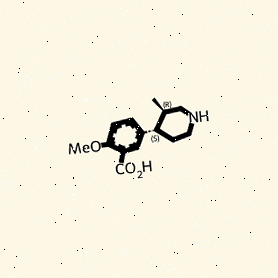 COc1ccc([C@H]2CCNC[C@@H]2C)cc1C(=O)O